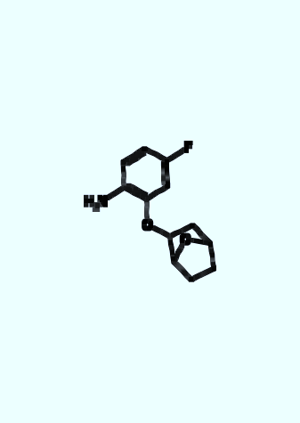 Nc1ccc(F)cc1OC1CC2CCC1O2